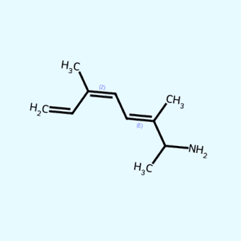 C=C/C(C)=C\C=C(/C)C(C)N